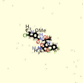 COc1cc(C(=O)NCC(O)(c2cc3c(c(-c4ccc(F)c(F)c4Cl)n2)OC[C@]3(C)C(N)=O)C2CC2)cc2cc(Cl)c(C)nc12